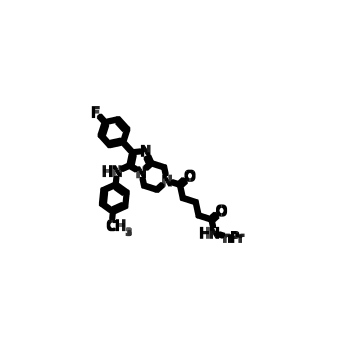 CCCNC(=O)CCCC(=O)N1CCn2c(nc(-c3ccc(F)cc3)c2Nc2ccc(C)cc2)C1